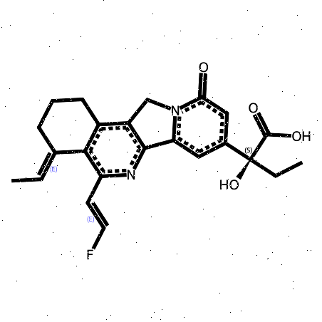 C/C=C1\CCCc2c3c(nc(/C=C/F)c21)-c1cc([C@@](O)(CC)C(=O)O)cc(=O)n1C3